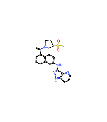 C=C(c1cccc2cc(Nc3n[nH]c4cccnc34)ccc12)N1CCC(S(C)(=O)=O)C1